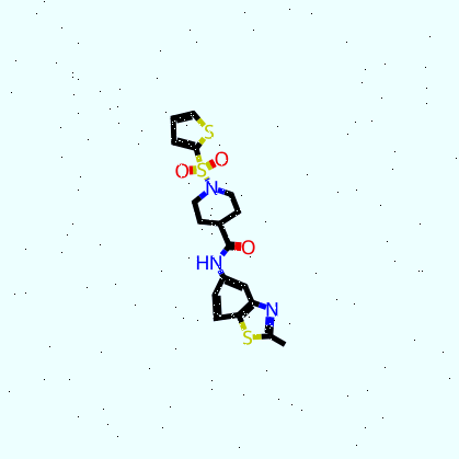 Cc1nc2cc(NC(=O)C3CCN(S(=O)(=O)c4cccs4)CC3)ccc2s1